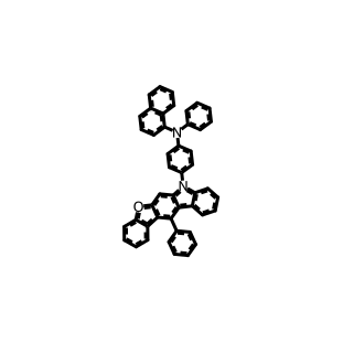 c1ccc(-c2c3c(cc4c2c2ccccc2n4-c2ccc(N(c4ccccc4)c4cccc5ccccc45)cc2)oc2ccccc23)cc1